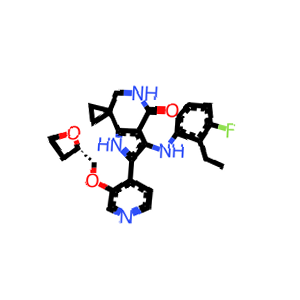 CCc1c(F)cccc1Nc1c(-c2ccncc2OC[C@@H]2CCO2)[nH]c2c1C(=O)NCC21CC1